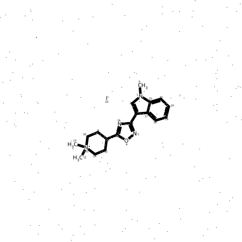 Cn1cc(-c2noc(C3CC[N+](C)(C)CC3)n2)c2ccccc21.[I-]